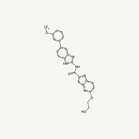 O=C(Nc1nc2cc(-c3cccc(OC(F)(F)F)c3)ccc2[nH]1)c1cn2nc(OCCO)ccc2n1